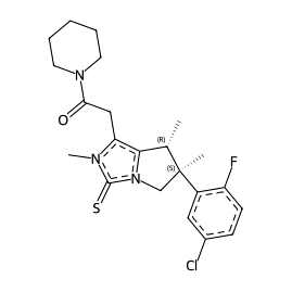 C[C@H]1c2c(CC(=O)N3CCCCC3)n(C)c(=S)n2C[C@]1(C)c1cc(Cl)ccc1F